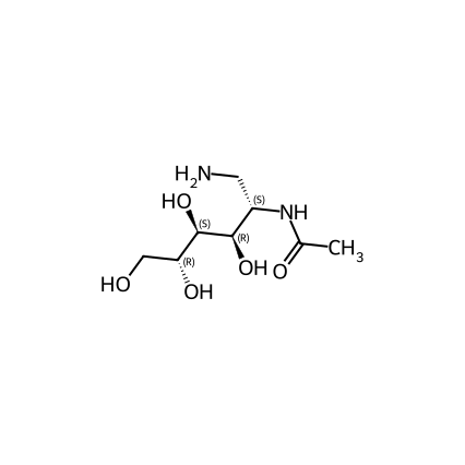 CC(=O)N[C@@H](CN)[C@@H](O)[C@H](O)[C@H](O)CO